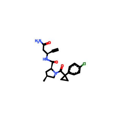 C#C[C@H](CC(N)=O)NC(=O)[C@@H]1C[C@H](C)CN1C(=O)C1(c2ccc(Cl)cc2)CC1